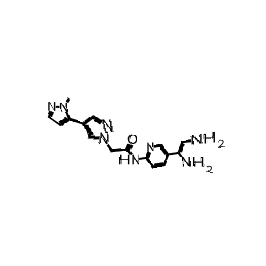 Cn1nccc1-c1cnn(CC(=O)Nc2ccc(/C(N)=C/N)cn2)c1